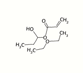 C=CC(=O)OC(O)CC.CCOCC